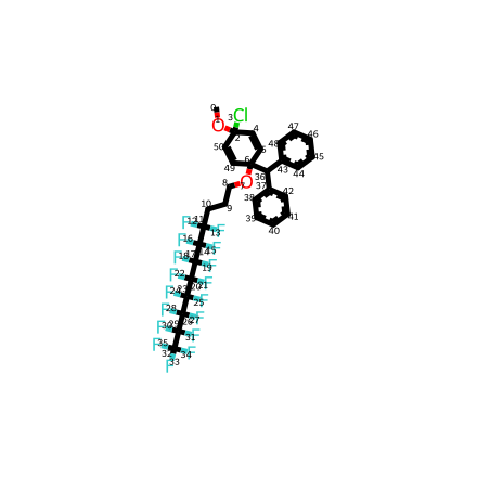 COC1(Cl)C=CC(OCCCC(F)(F)C(F)(F)C(F)(F)C(F)(F)C(F)(F)C(F)(F)C(F)(F)C(F)(F)F)(C(c2ccccc2)c2ccccc2)C=C1